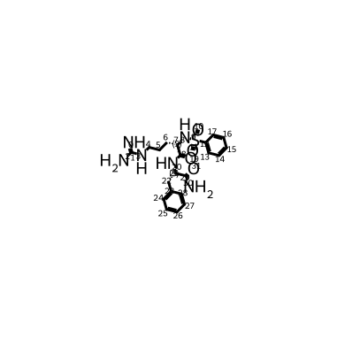 N=C(N)NCCC[C@H](NS(=O)(=O)c1ccccc1)C(=O)N[C@@H](Cc1ccccc1)C(N)=O